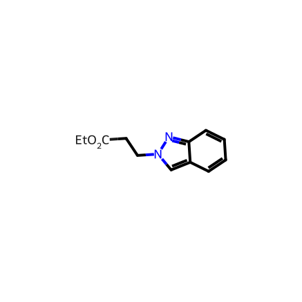 CCOC(=O)CCn1cc2ccccc2n1